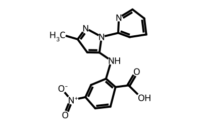 Cc1cc(Nc2cc([N+](=O)[O-])ccc2C(=O)O)n(-c2ccccn2)n1